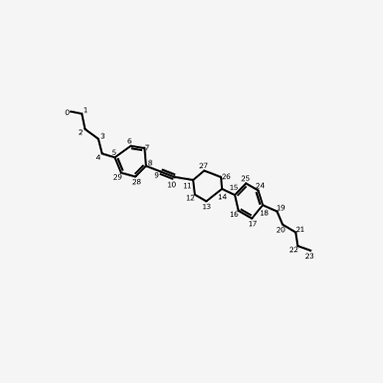 CCCCCc1ccc(C#CC2CCC(c3ccc(CCCCC)cc3)CC2)cc1